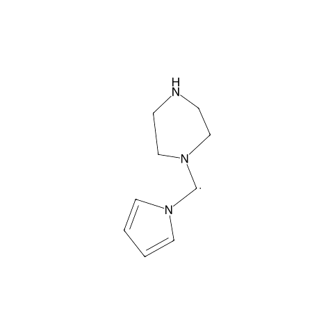 [CH](N1CCNCC1)n1cccc1